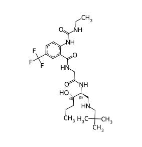 CCC[C@H](O)[C@H](CNCC(C)(C)C)NC(=O)CNC(=O)c1cc(C(F)(F)F)ccc1NC(=O)NCC